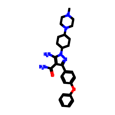 CN1CCN(C2CCC(n3nc(-c4ccc(Oc5ccccc5)cc4)c(C(N)=O)c3N)CC2)CC1